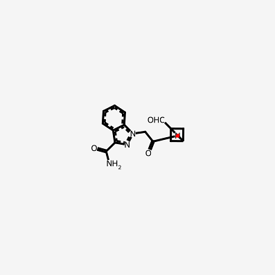 NC(=O)c1nn(CC(=O)N2CC3CC2(C=O)C3)c2ccccc12